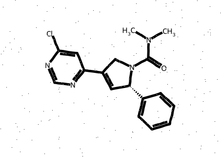 CN(C)C(=O)N1CC(c2cc(Cl)ncn2)=C[C@H]1c1ccccc1